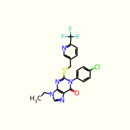 CCn1cnc2c(=O)n(-c3ccc(Cl)cc3)c(SCc3ccc(C(F)(F)F)nc3)nc21